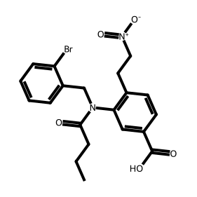 CCCC(=O)N(Cc1ccccc1Br)c1cc(C(=O)O)ccc1CC[N+](=O)[O-]